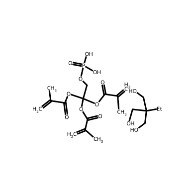 C=C(C)C(=O)OC(COP(=O)(O)O)(OC(=O)C(=C)C)OC(=O)C(=C)C.CCC(CO)(CO)CO